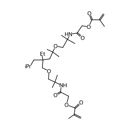 C=C(C)C(=O)OCC(=O)NC(C)(C)COCC(CC)(CC(C)C)CC(C)(C)OCC(C)(C)NC(=O)COC(=O)C(=C)C